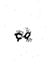 C=C1CC(C)=CN(C2=CC(N)=C(F)C=C(CCC)C2)C=C1CCC